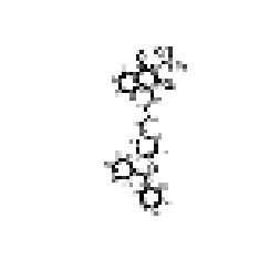 CCCC(C#N)n1c(=O)c2ccccc2n(CCCCN2CCC(OC(c3ccccc3)c3ccccc3)CC2)c1=O